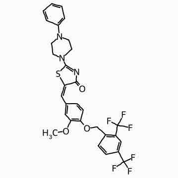 COc1cc(C=C2SC(N3CCN(c4ccccc4)CC3)=NC2=O)ccc1OCc1ccc(C(F)(F)F)cc1C(F)(F)F